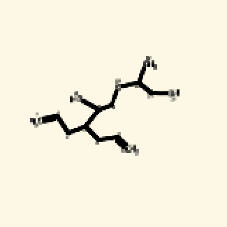 C=CCC(CC=C)C(O)COC(C)CO